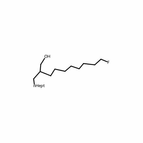 CCCCCCCCC(CO)CCCCCCCCF